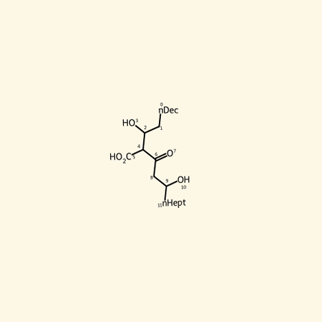 CCCCCCCCCCCC(O)C(C(=O)O)C(=O)CC(O)CCCCCCC